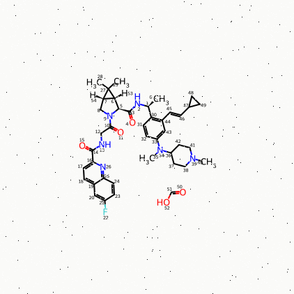 C[C@H](NC(=O)[C@@H]1[C@@H]2[C@H](CN1C(=O)CNC(=O)c1ccc3cc(F)ccc3n1)C2(C)C)c1ccc(N(C)C2CCN(C)CC2)cc1/C=C/C1CC1.O=CO